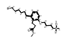 COC(=O)CCc1c(CCCCCCBr)cccc1OCCCCS(C)(=O)=O